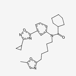 Cc1cnc(CCCCCN(C(=O)C2CCCCC2)c2cccc(-c3nc(C4CC4)no3)c2)o1